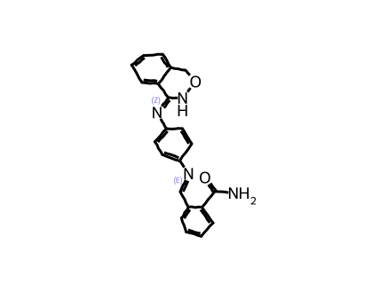 NC(=O)c1ccccc1/C=N/c1ccc(/N=C2\NOCc3ccccc32)cc1